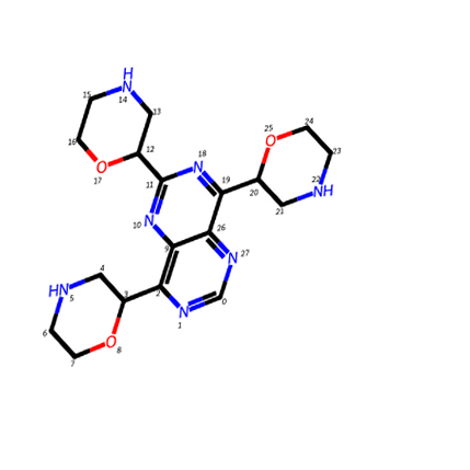 c1nc(C2CNCCO2)c2nc(C3CNCCO3)nc(C3CNCCO3)c2n1